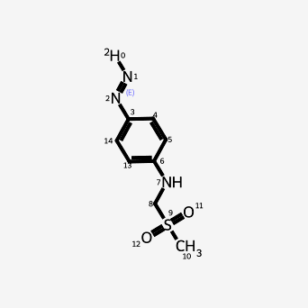 [2H]/N=N/c1ccc(NCS(C)(=O)=O)cc1